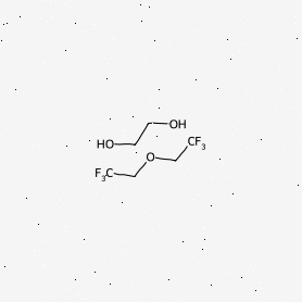 FC(F)(F)COCC(F)(F)F.OCCO